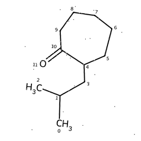 CC(C)CC1CCCCCC1=O